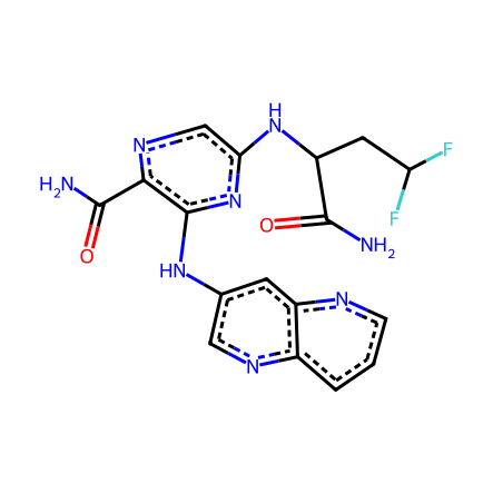 NC(=O)c1ncc(NC(CC(F)F)C(N)=O)nc1Nc1cnc2cccnc2c1